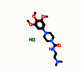 COc1cc(N2CCN(C(=O)NCCN(C)C)CC2)cc(OC)c1OC.Cl